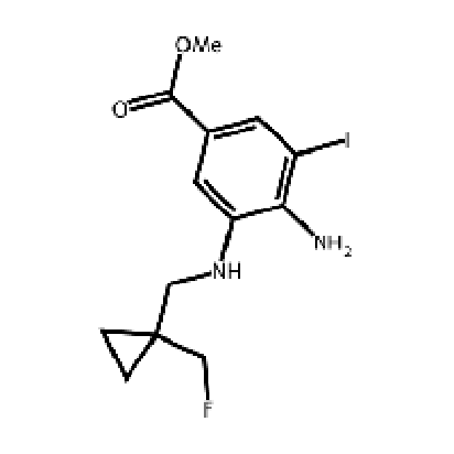 COC(=O)c1cc(I)c(N)c(NCC2(CF)CC2)c1